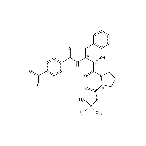 CC(C)(C)NC(=O)[C@@H]1CSCN1C(=O)[C@@H](O)[C@H](Cc1ccccc1)NC(=O)c1ccc(C(=O)O)cc1